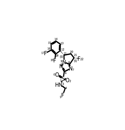 O=S(=O)(NCF)c1nc2n(n1)[C@H](c1cccc(F)c1F)C[C@@H]2F